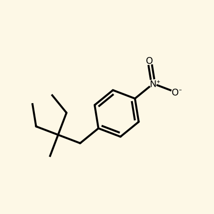 CCC(C)(CC)Cc1ccc([N+](=O)[O-])cc1